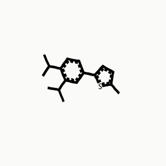 Cc1ccc(-c2ccc(C(C)C)c(C(C)C)c2)s1